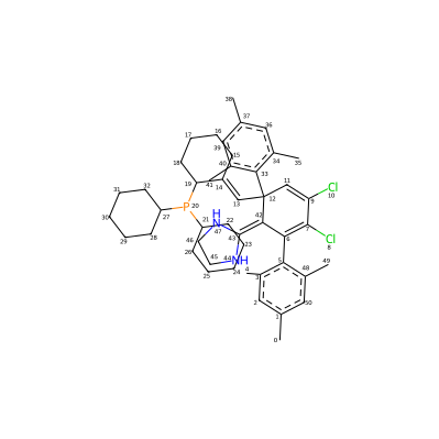 Cc1cc(C)c(C2=C(Cl)C(Cl)=CC(C=C3CCCCC3P(C3CCCCC3)C3CCCCC3)(c3c(C)cc(C)cc3C)C2=C2NCCN2)c(C)c1